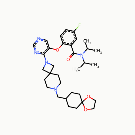 CC(C)N(C(=O)c1cc(F)ccc1Oc1cncnc1N1CC2(CCN(CC3CCC4(CC3)OCCO4)CC2)C1)C(C)C